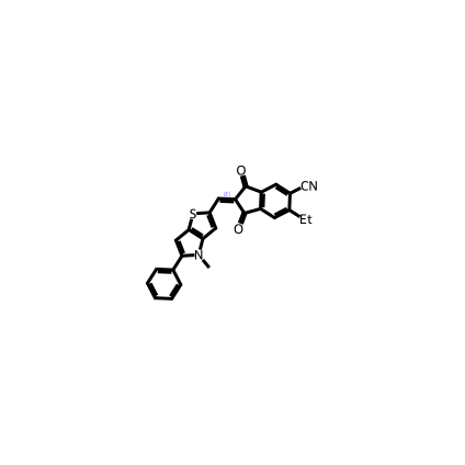 CCc1cc2c(cc1C#N)C(=O)/C(=C/c1cc3c(cc(-c4ccccc4)n3C)s1)C2=O